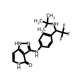 CC(C)(C)NC(c1ccc(Nc2n[nH]c3cc[nH]c(=O)c23)cc1)C(F)(F)F